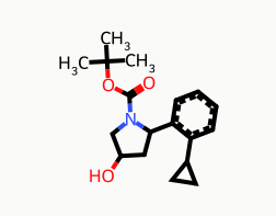 CC(C)(C)OC(=O)N1CC(O)CC1c1ccccc1C1CC1